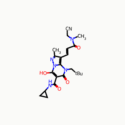 Cc1nn2c(O)c(C(=O)NC3CC3)c(=O)n(CC(C)(C)C)c2c1/C=C/C(=O)N(C)CC#N